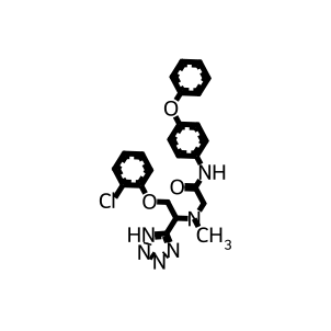 CN(CC(=O)Nc1ccc(Oc2ccccc2)cc1)C(COc1ccccc1Cl)c1nnn[nH]1